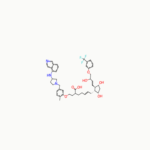 Cc1ccc(CN2CCC(Nc3cccc4cnccc34)C2)cc1OCCC(CCC=CC[C@@H]1[C@@H](C=CC(O)COc2cccc(C(F)(F)F)c2)[C@H](O)C[C@@H]1O)C(=O)O